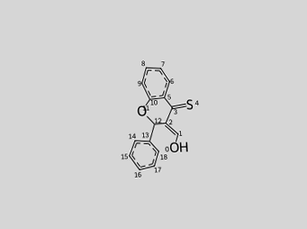 OC=C1C(=S)c2ccccc2OC1c1ccccc1